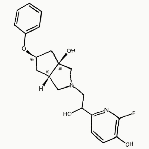 Oc1ccc(C(O)CN2C[C@@H]3C[C@@H](Oc4ccccc4)C[C@]3(O)C2)nc1F